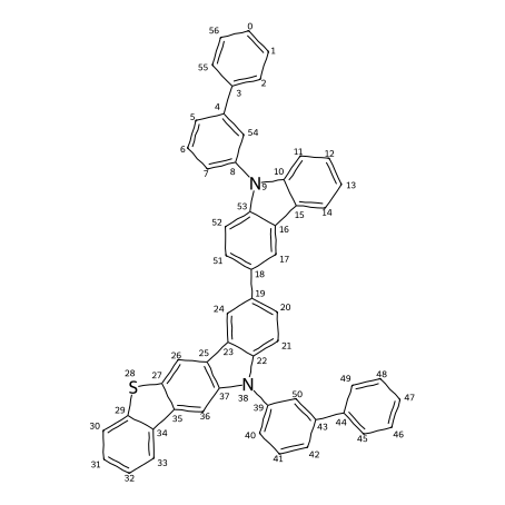 c1ccc(-c2cccc(-n3c4ccccc4c4cc(-c5ccc6c(c5)c5cc7sc8ccccc8c7cc5n6-c5cccc(-c6ccccc6)c5)ccc43)c2)cc1